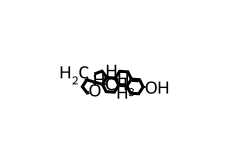 C=C1CCO[C@@]12CC[C@H]1[C@@H]3CCC4=C[C@@H](O)CC[C@@H]4[C@H]3CC[C@@]12C